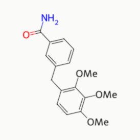 COc1ccc(Cc2cccc(C(N)=O)c2)c(OC)c1OC